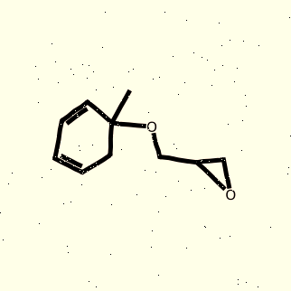 CC1(OCC2CO2)C=CC=CC1